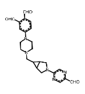 O=Cc1cnc(N2CC3C(CN4CCN(c5ccc(C=O)c(C=O)c5)CC4)C3C2)cn1